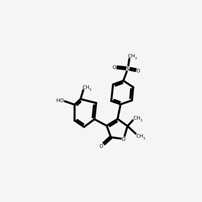 Cc1cc(C2=C(c3ccc(S(C)(=O)=O)cc3)C(C)(C)OC2=O)ccc1O